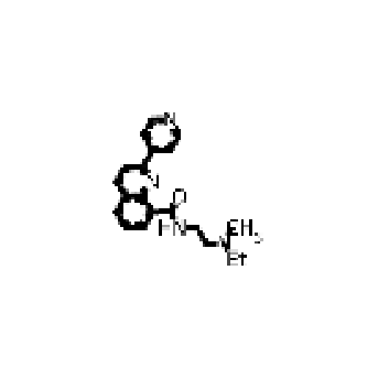 CCN(C)CCNC(=O)c1cccc2ccc(-c3ccncc3)nc12